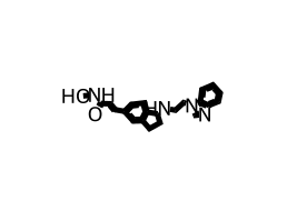 O=C(C=Cc1ccc2c(c1)CCC2NCCn1cnc2ccccc21)NO